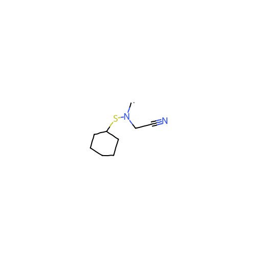 [CH2]N(CC#N)SC1CCCCC1